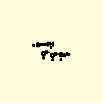 O=P.[Ge+4].[O-2].[O-2]